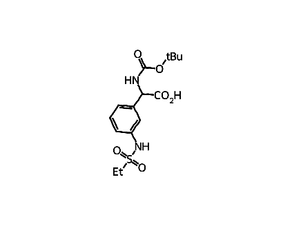 CCS(=O)(=O)Nc1cccc(C(NC(=O)OC(C)(C)C)C(=O)O)c1